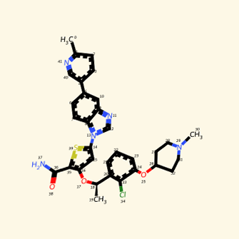 Cc1ccc(-c2ccc3c(c2)ncn3-c2cc(O[C@H](C)c3cccc(OC4CCN(C)CC4)c3Cl)c(C(N)=O)s2)cn1